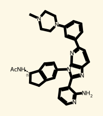 CC(=O)N[C@H]1CCc2cc(-n3c(-c4cccnc4N)nc4ccc(-c5cccc(N6CCN(C)CC6)c5)nc43)ccc21